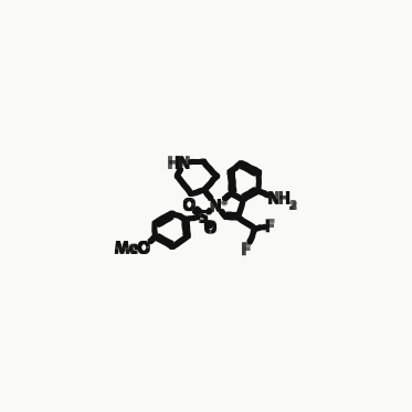 COc1ccc(S(=O)(=O)[N+]2(C3CCNCC3)C=C(C(F)F)c3c(N)cccc32)cc1